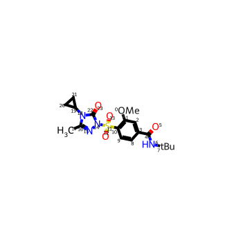 COc1cc(C(=O)NC(C)(C)C)ccc1S(=O)(=O)n1nc(C)n(C2CC2)c1=O